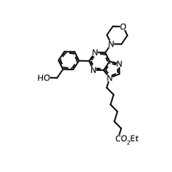 CCOC(=O)CCCCCCn1cnc2c(N3CCOCC3)nc(-c3cccc(CO)c3)nc21